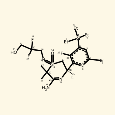 CC[Si](CC)(CC)c1cc(Br)nc([C@]2(C)CS(=O)(=NCC(F)(F)CO)C(C)(C)C(N)=N2)c1F